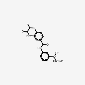 CC(C)N[S+]([O-])c1cccc(NC(=O)c2ccc3c(c2)NC(=O)C(C)S3)c1